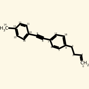 C=CCCc1ccc(C#Cc2ccc(C)cc2)cc1